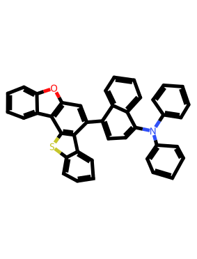 c1ccc(N(c2ccccc2)c2ccc(-c3cc4oc5ccccc5c4c4sc5ccccc5c34)c3ccccc23)cc1